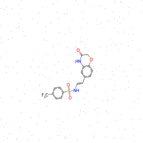 O=C1COc2ccc(C=CNS(=O)(=O)c3ccc(C(F)(F)F)cc3)cc2N1